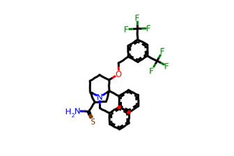 NC(=S)C1CC2(c3ccccc3)C(OCc3cc(C(F)(F)F)cc(C(F)(F)F)c3)CCC1N2Cc1ccccc1